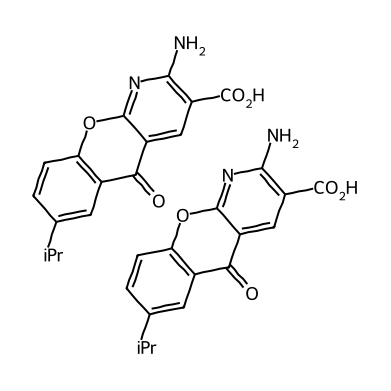 CC(C)c1ccc2oc3nc(N)c(C(=O)O)cc3c(=O)c2c1.CC(C)c1ccc2oc3nc(N)c(C(=O)O)cc3c(=O)c2c1